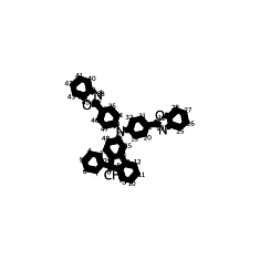 CC1(c2ccccc2)c2ccccc2-c2cc(N(c3ccc(-c4nc5ccccc5o4)cc3)c3ccc(-c4nc5ccccc5o4)cc3)ccc21